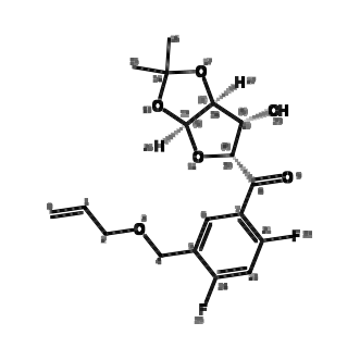 C=CCOCc1cc(C(=O)[C@@H]2O[C@H]3OC(C)(C)O[C@H]3[C@@H]2O)c(F)cc1F